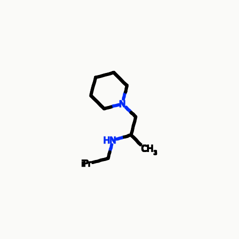 CC(C)CNC(C)CN1CCCCC1